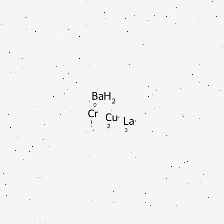 [BaH2].[Cr].[Cu].[La]